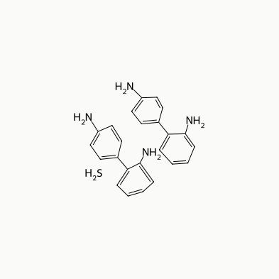 Nc1ccc(-c2ccccc2N)cc1.Nc1ccc(-c2ccccc2N)cc1.S